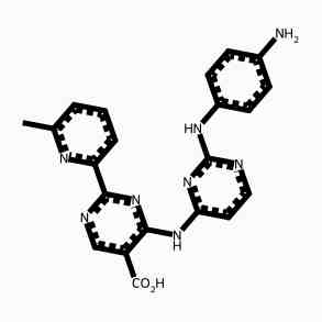 Cc1cccc(-c2ncc(C(=O)O)c(Nc3ccnc(Nc4ccc(N)cc4)n3)n2)n1